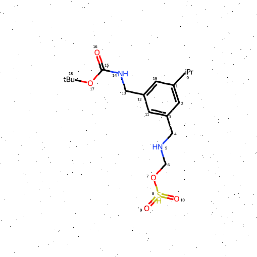 CC(C)c1cc(CNCO[SH](=O)=O)cc(CNC(=O)OC(C)(C)C)c1